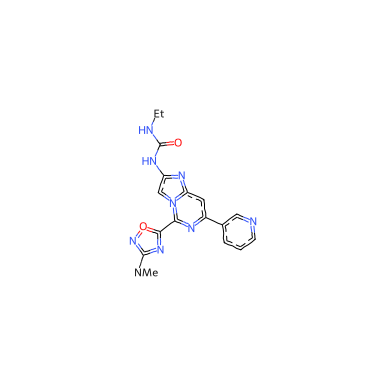 CCNC(=O)Nc1cn2c(-c3nc(NC)no3)nc(-c3cccnc3)cc2n1